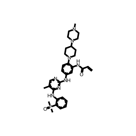 C=CC(=O)Nc1cc(Nc2ncc(C)c(Nc3ccccc3P(C)(C)=O)n2)ccc1N1CCC(N2CCN(C)CC2)CC1